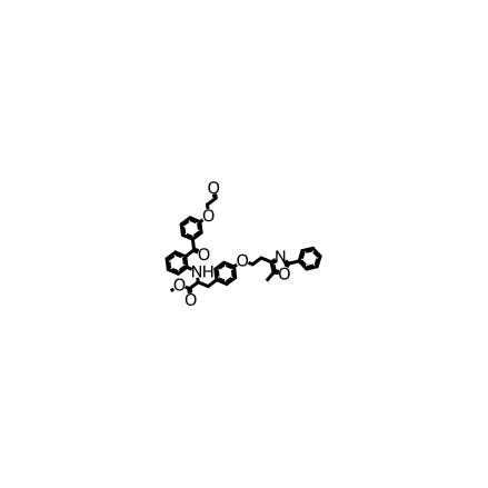 COC(=O)C(Cc1ccc(OCCc2nc(-c3ccccc3)oc2C)cc1)Nc1ccccc1C(=O)c1cccc(OCC=O)c1